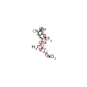 C[C@@H](OC(=O)CCCO[N+](=O)[O-])OC(=O)C1=Cc2cc(Cl)c(C(C)(C)C)cc2OC1C(F)(F)F